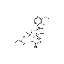 C#C[C@@]1(O)[C@H](n2cnc3c(N)ncnc32)O[C@@](F)(COC(=O)CC)[C@H]1C(C)C(=O)O